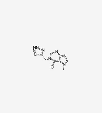 Cn1cnc2ncn(Cc3nn[nH]n3)c(=O)c21